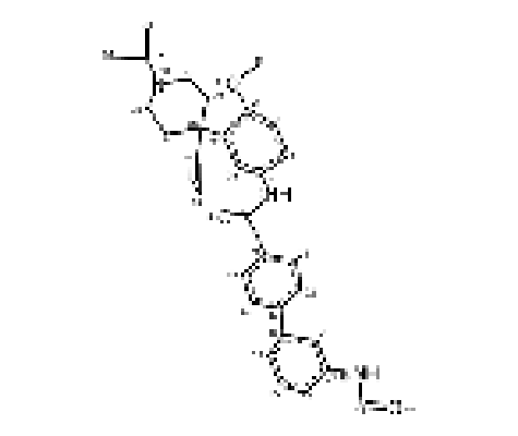 COc1ccc(NC(=O)c2ccc(-c3cccc(NC=O)c3)cc2)cc1C1(C#N)CCN(C(C)C)CC1